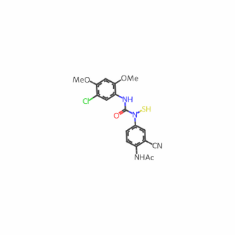 COc1cc(OC)c(NC(=O)N(S)c2ccc(NC(C)=O)c(C#N)c2)cc1Cl